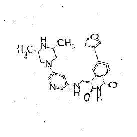 C[C@@H]1CN(c2cncc(N/C=C3\C(=O)NC(=O)c4ccc(-c5ccoc5)cc43)c2)C[C@H](C)N1